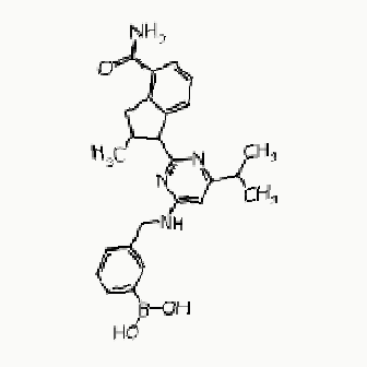 CC(C)c1cc(NCc2cccc(B(O)O)c2)nc(C2c3cccc(C(N)=O)c3CC2C)n1